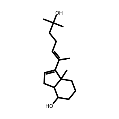 C/C(=C\CCC(C)(C)O)C1=CCC2C(O)CCCC12C